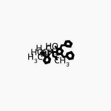 CCCC(CC)(Pc1ccccc1C(C)(C)O)c1cc(Cc2ccccc2)cc(Cc2ccccc2)c1O